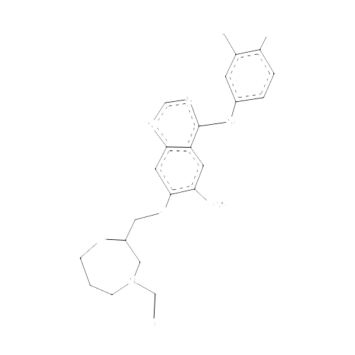 COc1cc2c(Nc3ccc(Cl)c(Cl)c3)ncnc2cc1OCC1CN(CC(C)C)CCCO1